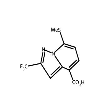 CSc1ccc(C(=O)O)c2cc(C(F)(F)F)nn12